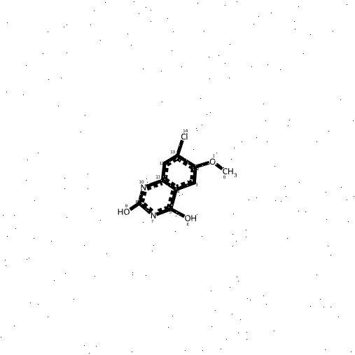 COc1cc2c(O)nc(O)nc2cc1Cl